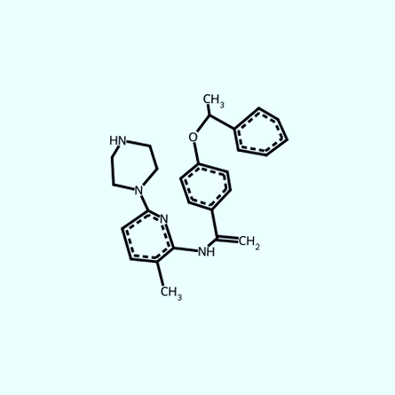 C=C(Nc1nc(N2CCNCC2)ccc1C)c1ccc(OC(C)c2ccccc2)cc1